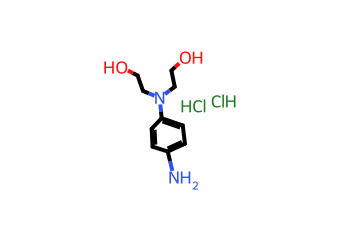 Cl.Cl.Nc1ccc(N(CCO)CCO)cc1